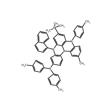 Cc1ccc(N(c2ccc(C)cc2)c2ccc3c(c2)N(c2cccc4ccccc24)c2cc([Si](C)(C)C)cc4c2B3c2cc(C)ccc2N4c2ccc(C)cc2)cc1